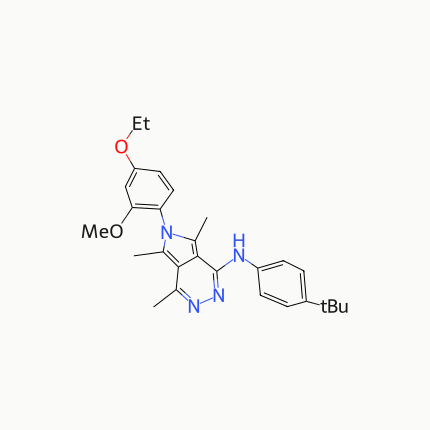 CCOc1ccc(-n2c(C)c3c(C)nnc(Nc4ccc(C(C)(C)C)cc4)c3c2C)c(OC)c1